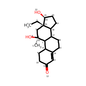 CC[C@]12C[C@](C)(O)C3C4CCC(=O)C=C4CCC3C1CC[C@@H]2O